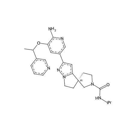 CC(C)NC(=O)N1CC[C@@]2(CCn3nc(-c4cnc(N)c(OC(C)c5cccnc5)c4)cc32)C1